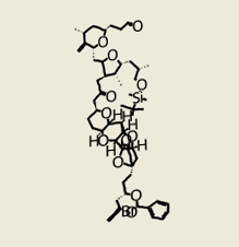 C=C(Br)C[C@H](CC[C@@]12C[C@H]3O[C@H]4[C@@H](O1)[C@H]1O[C@H](CC(=O)C[C@H]5C(C[C@H]6O[C@@H](CCC=O)C[C@@H](C)C6=C)O[C@H](C[C@H](C)CO[Si](C)(C)C(C)(C)C)[C@@H]5C)CC[C@@H]1O[C@H]4[C@H]3O2)OC(=O)c1ccccc1